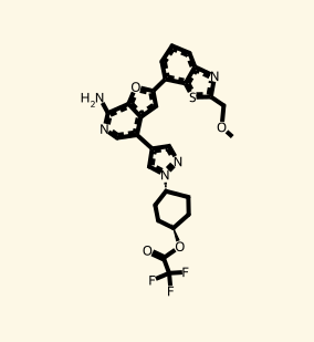 COCc1nc2cccc(-c3cc4c(-c5cnn([C@H]6CC[C@H](OC(=O)C(F)(F)F)CC6)c5)cnc(N)c4o3)c2s1